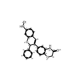 CCNc1ccc2c(c1)OC(c1ccccc1)C(c1ccc3c(c1)NC(=O)CO3)=C2